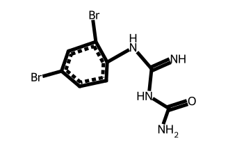 N=C(NC(N)=O)Nc1ccc(Br)cc1Br